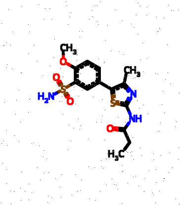 CCC(=O)Nc1nc(C)c(-c2ccc(OC)c(S(N)(=O)=O)c2)s1